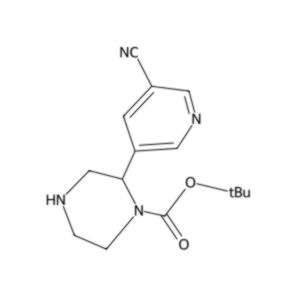 CC(C)(C)OC(=O)N1CCNCC1c1cncc(C#N)c1